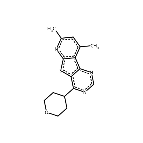 Cc1cc(C)c2c(n1)sc1c(C3CCOCC3)ncnc12